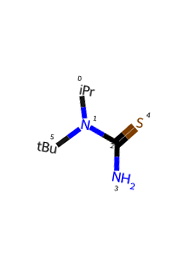 CC(C)N(C(N)=S)C(C)(C)C